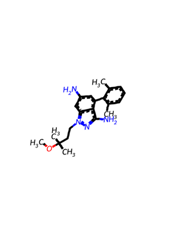 COC(C)(C)CCn1nc(N)c2c(-c3c(C)cccc3C)cc(N)cc21